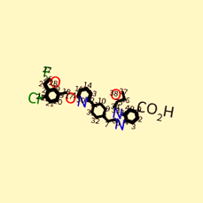 O=C(O)c1ccc2nc(CC3CCC(c4cccc(OCc5ccc(Cl)c6cc(F)oc56)n4)CC3)n(CC3CCO3)c2c1